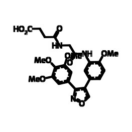 COc1ccc(-c2conc2-c2cc(OC)c(OC)c(OC)c2)cc1NC(=O)CNC(=O)CCC(=O)O